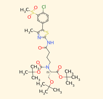 Cc1nc(NC(=O)CCCN(C(=O)OC(C)(C)C)[C@@H](COC(C)(C)C)C(=O)OC(C)(C)C)sc1-c1ccc(Cl)c(S(C)(=O)=O)c1